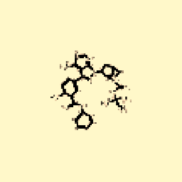 CC1C=CC(c2nn(C3CC4CC3N(C(=O)OC(C)(C)C)C4)c3ncnc(N)c23)=CC1C(=O)Nc1ccccc1